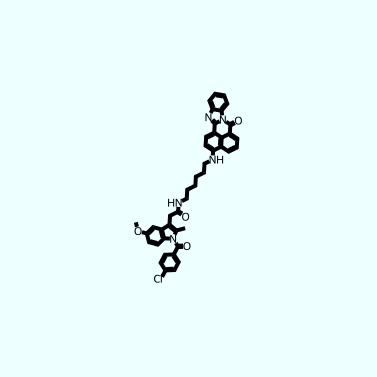 COc1ccc2c(c1)c(CC(=O)NCCCCCCNc1ccc3c4c1cccc4c(=O)n1c4ccccc4nc31)c(C)n2C(=O)c1ccc(Cl)cc1